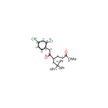 CCCC(CC(CCC(=O)OC)C(=O)Cc1ccc(Cl)cc1Cl)(C(C)C)C(C)C